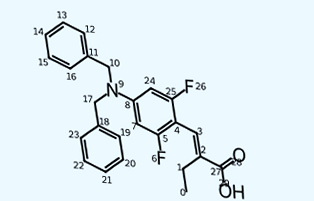 CC/C(=C\c1c(F)cc(N(Cc2ccccc2)Cc2ccccc2)cc1F)C(=O)O